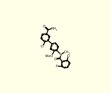 COc1cc(-c2cc(C(N)=O)ccc2Cl)ccc1N(C)C(=O)c1c(F)cccc1Cl